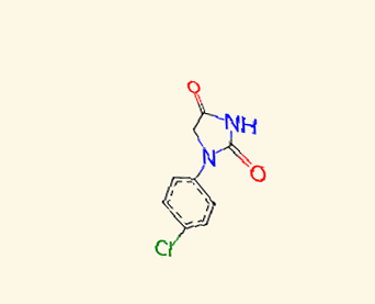 O=C1CN(c2ccc(Cl)cc2)C(=O)N1